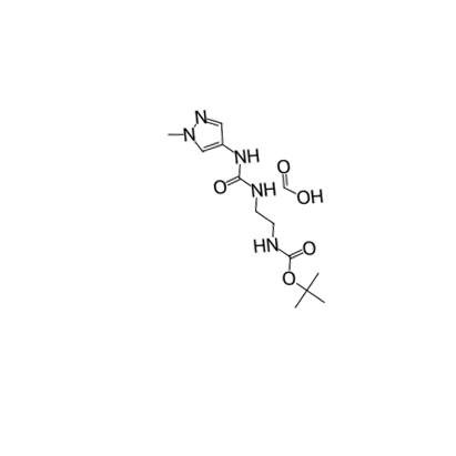 Cn1cc(NC(=O)NCCNC(=O)OC(C)(C)C)cn1.O=CO